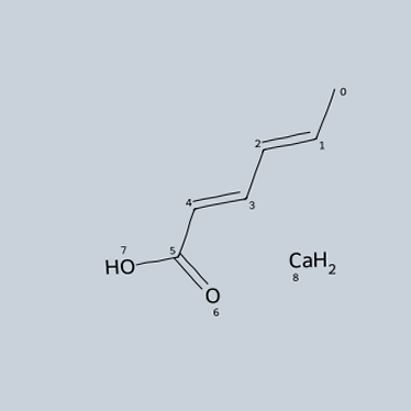 C/C=C/C=C/C(=O)O.[CaH2]